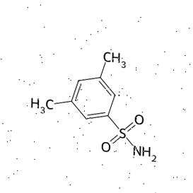 Cc1[c]c(S(N)(=O)=O)cc(C)c1